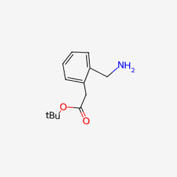 CC(C)(C)OC(=O)Cc1ccccc1CN